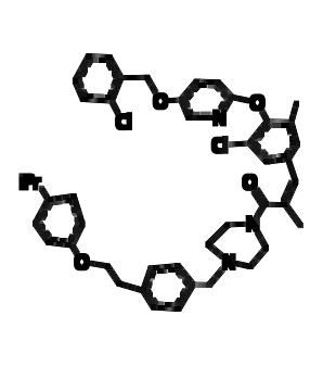 CC(=Cc1cc(C)c(Oc2ccc(OCc3ccccc3Cl)cn2)c(Cl)c1)C(=O)N1CCN(Cc2ccc(CCOc3ccc(C(C)C)cc3)cc2)CC1